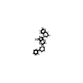 c1ccc(C2CCCN(c3cnc4c(N5CCCc6ncccc65)n[nH]c4n3)C2)cc1